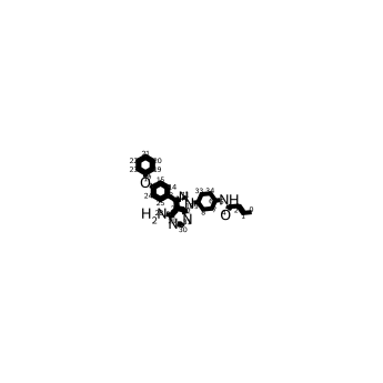 C/C=C/C(=O)NC1CCC(n2nc(-c3ccc(Oc4ccccc4)cc3)c3c(N)ncnc32)CC1